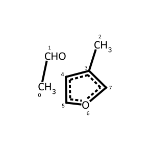 CC=O.Cc1ccoc1